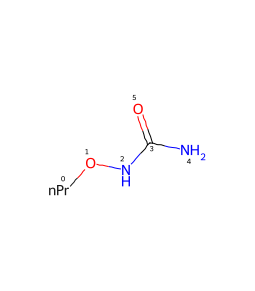 CCCONC(N)=O